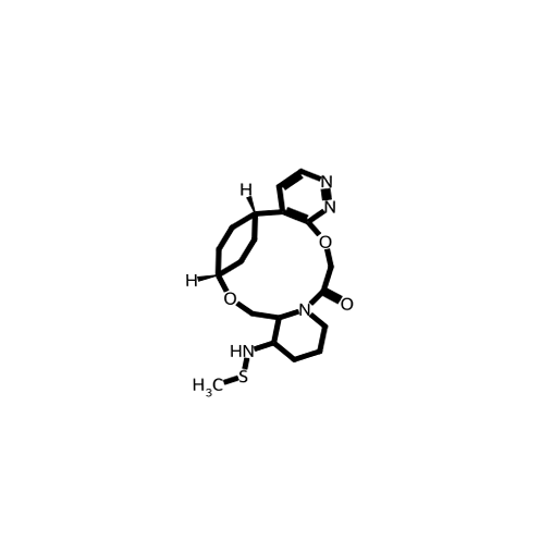 CSNC1CCCN2C(=O)COc3nnccc3[C@H]3CC[C@H](CC3)OCC12